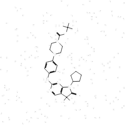 CC(C)(C)OC(=O)N1CCN(c2ccc(Nc3ncc4c(n3)N(C3CCCC3)C(=O)C4(C)C)cc2)CC1